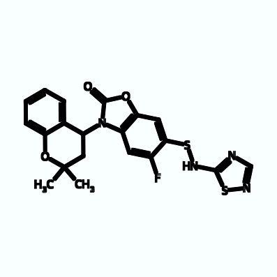 CC1(C)CC(n2c(=O)oc3cc(SNc4ncns4)c(F)cc32)c2ccccc2O1